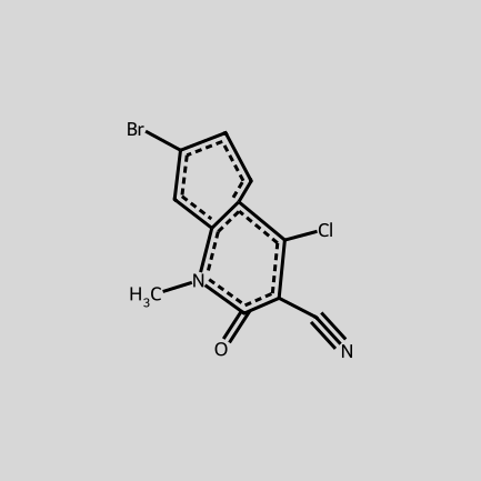 Cn1c(=O)c(C#N)c(Cl)c2ccc(Br)cc21